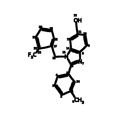 Cc1cccc(-c2nc3ccc(O)cc3n2Cc2ccccc2C(F)(F)F)c1